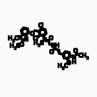 COc1cc(/C=C/C(=O)NCC(=O)N(C)c2ccc(Cl)c(COc3cccc4c3nc(OC)n4C)c2Cl)ccc1NC(C)=O